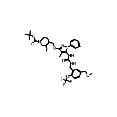 COCc1ccc(OC(F)(F)F)c(CNC(=O)Nc2c(C)c(OCC3CCN(C(=O)OC(C)(C)C)CC3F)nn2-c2ccccc2)c1